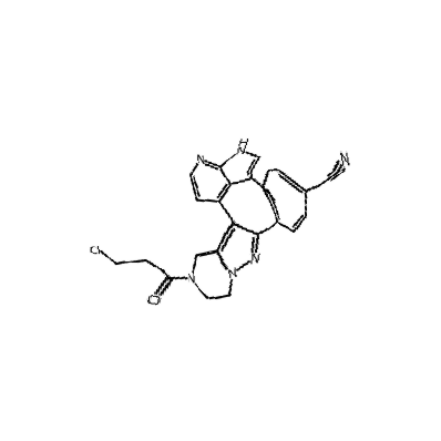 Cc1c[nH]c2nccc(-c3c(-c4ccc(C#N)cc4)nn4c3CN(C(=O)CCCl)CC4)c12